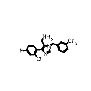 NCc1c(-c2ccc(F)cc2Cl)ncn1Cc1cccc(C(F)(F)F)c1